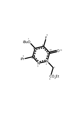 CCOC(=O)Cn1nc(C(C)C)c(OCC(C)C)c(F)c1=O